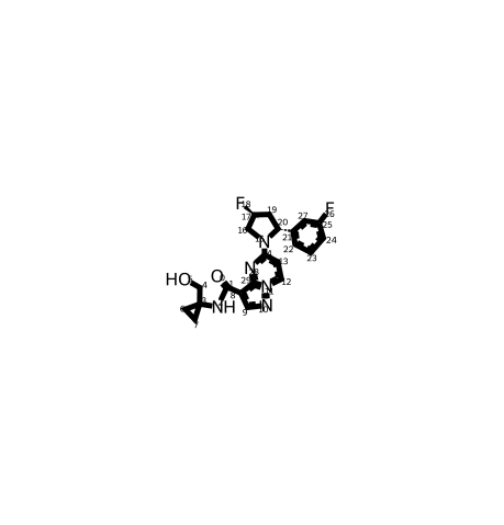 O=C(NC1(CO)CC1)c1cnn2ccc(N3C[C@@H](F)C[C@@H]3c3cccc(F)c3)nc12